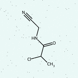 CC(Cl)C(=O)NCC#N